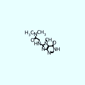 CN(C)C(=O)CNc1nc2nc[nH]c(=O)c2n1C